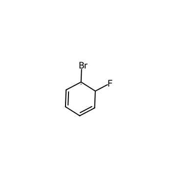 FC1C=CC=C[C]1Br